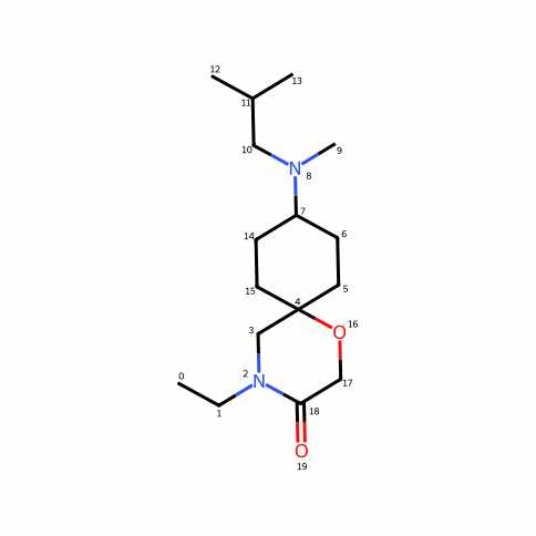 CCN1CC2(CCC(N(C)CC(C)C)CC2)OCC1=O